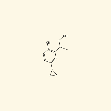 [CH2]C(CO)c1cc(C2CC2)ccc1C#N